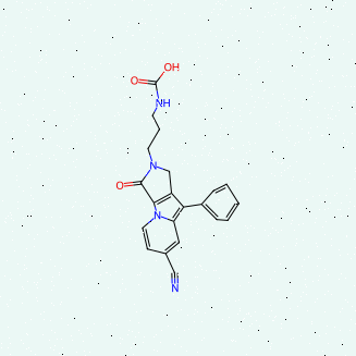 N#Cc1ccn2c3c(c(-c4ccccc4)c2c1)CN(CCCNC(=O)O)C3=O